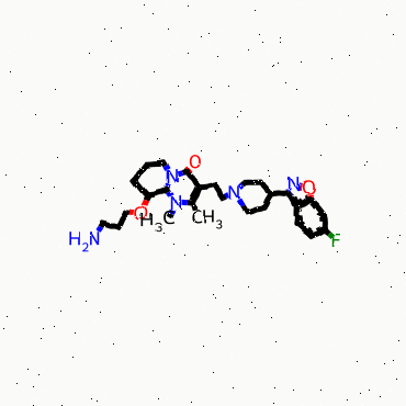 CC1=C(CCN2CCC(c3noc4cc(F)ccc34)CC2)C(=O)N2CCCC(OCCCN)C2N1C